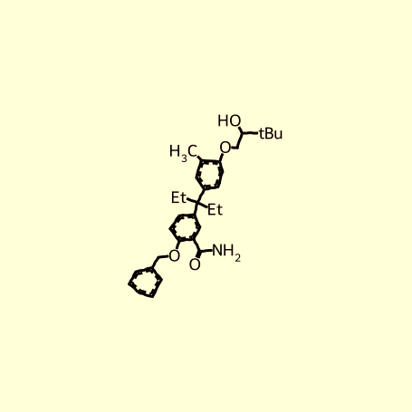 CCC(CC)(c1ccc(OCC(O)C(C)(C)C)c(C)c1)c1ccc(OCc2ccccc2)c(C(N)=O)c1